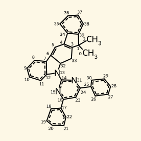 CC1(C)C2=C(C=C3c4ccccc4N(c4nc(-c5ccccc5)cc(-c5ccccc5)n4)C3C2)c2ccccc21